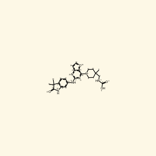 CC1(CNC(=O)O)CCN(c2nc(Nc3ccc4c(c3)NC(=O)C4(C)C)nc3ccoc23)CC1